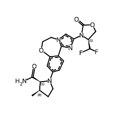 C[C@@H]1CCN(c2ccc3c(c2)OCCn2cc(N4C(=O)OC[C@H]4C(F)F)nc2-3)[C@@H]1C(N)=O